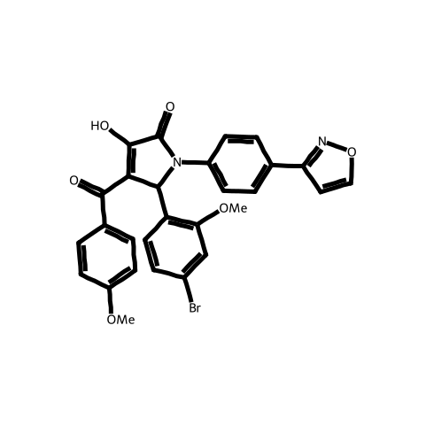 COc1ccc(C(=O)C2=C(O)C(=O)N(c3ccc(-c4ccon4)cc3)C2c2ccc(Br)cc2OC)cc1